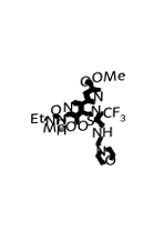 CCNC(=O)Nc1ncc(-c2cncc(C(=O)OC)c2)c(-c2nc(C(F)(F)F)c(CNCCN3CCOCC3)s2)c1C(=O)OC